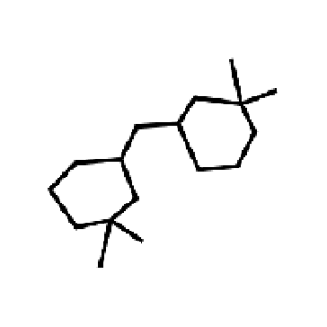 CC1(C)CCCC(CC2CCCC(C)(C)C2)C1